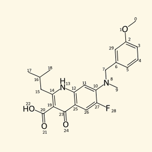 COc1cccc(CN(C)c2cc3[nH]c(CC(C)C)c(C(=O)O)c(=O)c3cc2F)c1